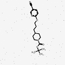 CC(C)(C)OC(=O)N1CCC(CCCOc2ccc(C#N)cn2)CC1